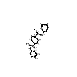 O=C(Nc1ccccc1)c1ccc(S(=O)(=O)Cc2ccccc2)cc1